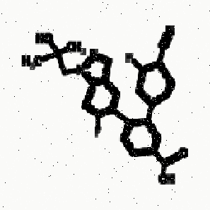 CC(C)(O)Cn1ncc2cc(-c3ccc(C(=O)O)cc3-c3ccc(C#N)c(F)c3)c(F)cc21